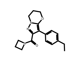 CCc1ccc(-c2c(C(=O)N3CCC3)nn3c2OCCC3)cc1